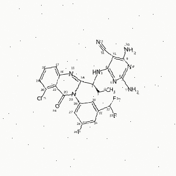 CC[C@H](Nc1nc(N)nc(N)c1C#N)c1nc2cccc(Cl)c2c(=O)n1-c1cc(F)cc(C(F)F)c1